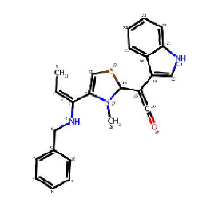 C/C=C(/NCc1ccccc1)C1=CSC(C(=C=O)c2c[nH]c3ccccc23)N1C